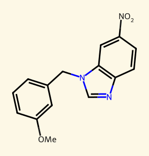 COc1cccc(Cn2cnc3ccc([N+](=O)[O-])cc32)c1